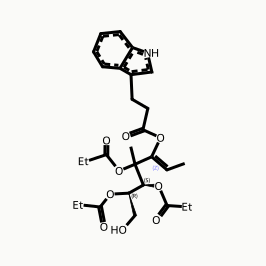 C/C=C(\OC(=O)CCc1c[nH]c2ccccc12)C(C)(OC(=O)CC)[C@@H](OC(=O)CC)[C@@H](CO)OC(=O)CC